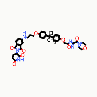 CC(C)(c1ccc(OCCCNc2ccc3c(c2)C(=O)N(C2CCC(=O)NC2=O)C3=O)cc1)c1ccc(OCc2nc(C(=O)N3CCOCC3)no2)cc1